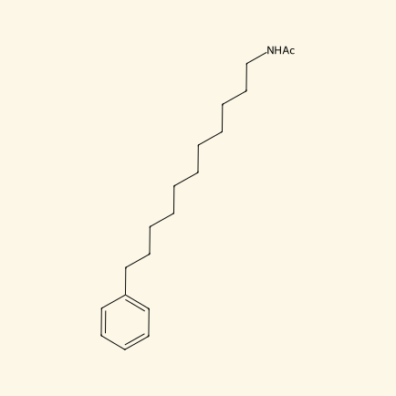 CC(=O)NCCCCCCCCCCCc1ccccc1